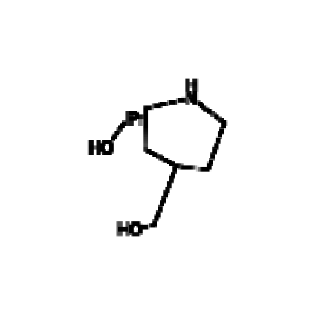 CC(C)O.OCC1CCNCC1